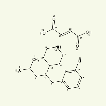 CC(C)CN(Cc1cccc(Cl)c1)C1CCNCC1.O=C(O)C=CC(=O)O